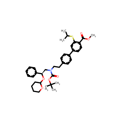 COC(=O)c1ccc(-c2ccc(CCN(C[C@@H](OC3CCCCO3)c3ccccc3)C(=O)OC(C)(C)C)cc2)cc1SC(C)C